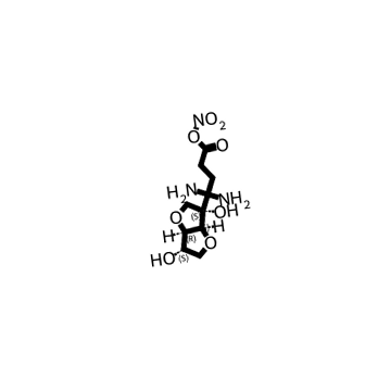 NC(N)(CCC(=O)O[N+](=O)[O-])[C@]1(O)CO[C@@H]2[C@@H](O)CO[C@@H]21